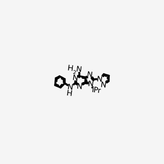 CC(C)n1c(-n2cccn2)nc2c(N)nc(Nc3ccccc3)nc21